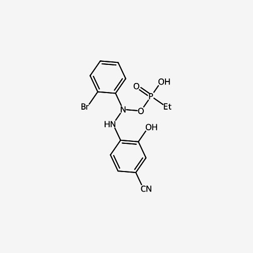 CCP(=O)(O)ON(Nc1ccc(C#N)cc1O)c1ccccc1Br